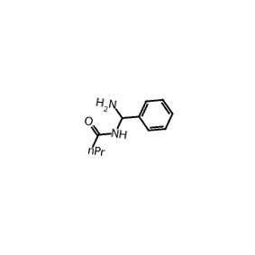 CCCC(=O)NC(N)c1ccccc1